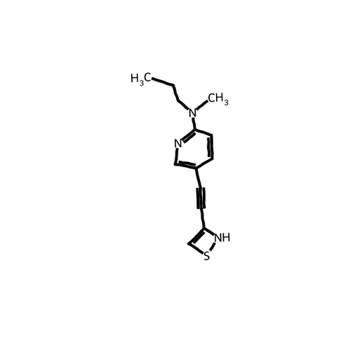 CCCN(C)c1ccc(C#Cc2cs[nH]2)cn1